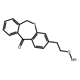 CCCOCCc1ccc2c(c1)SCc1ccccc1C2=O